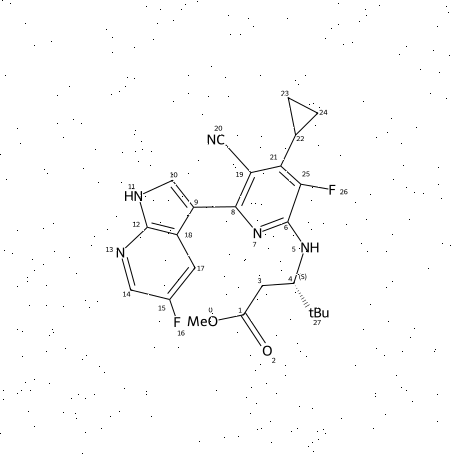 COC(=O)C[C@H](Nc1nc(-c2c[nH]c3ncc(F)cc23)c(C#N)c(C2CC2)c1F)C(C)(C)C